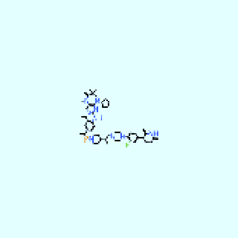 C=C1CCC(c2ccc(N3CCN(CC(C)C4CCN(P(C)C(=C)c5ccc(Nc6ncc7c(n6)N(C6CCCC6)CC(C)(C)C(=C)N7C)c(CC)c5)CC4)CC3)c(F)c2)C(=C)N1